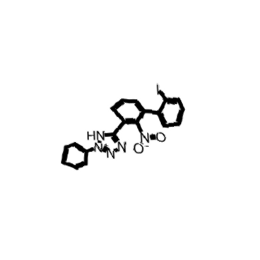 O=[N+]([O-])c1c(-c2nn[n+](-c3ccccc3)[nH]2)cccc1-c1ccccc1I